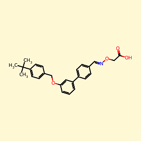 CC(C)(C)c1ccc(COc2cccc(-c3ccc(C=NOCC(=O)O)cc3)c2)cc1